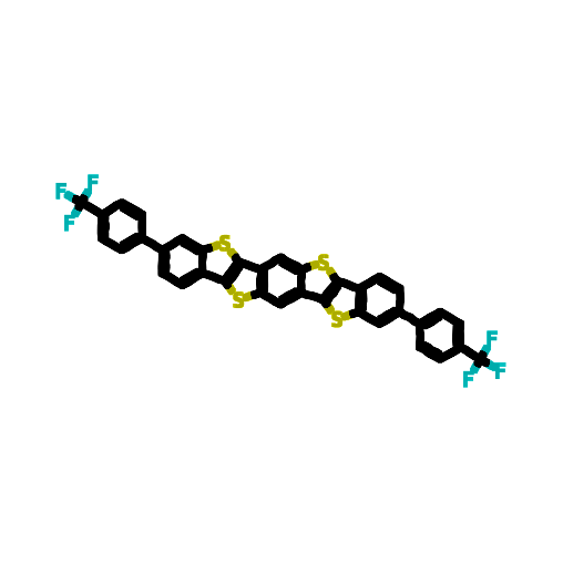 FC(F)(F)c1ccc(-c2ccc3c(c2)sc2c4cc5sc6c7ccc(-c8ccc(C(F)(F)F)cc8)cc7sc6c5cc4sc32)cc1